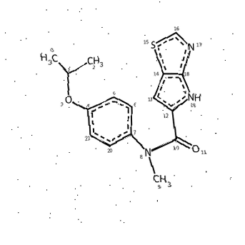 CC(C)Oc1ccc(N(C)C(=O)c2cc3scnc3[nH]2)cc1